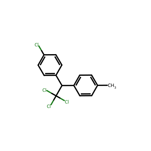 Cc1ccc(C(c2ccc(Cl)cc2)C(Cl)(Cl)Cl)cc1